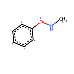 CNOc1c[c]ccc1